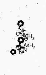 COc1cc(-c2cn(C3CCCC3)c3ncnc([AsH2])c23)ccc1NC(=O)NCc1ccccc1